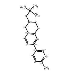 CC(=O)OC(C)(C)CN1CCc2cc(-c3ccc(C)nn3)ccc2C1